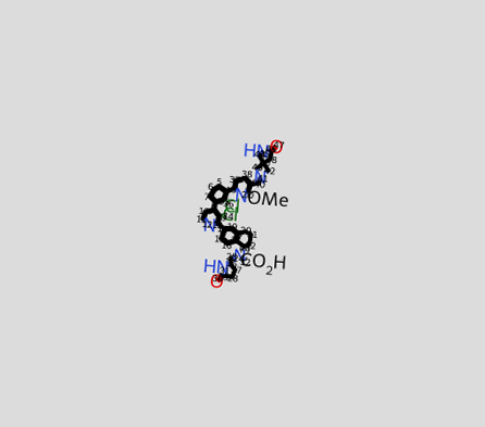 COc1nc(-c2cccc(-c3ccnc(-c4ccc5c(c4)CCC[C@H]5N(CC4CCC(=O)N4)C(=O)O)c3Cl)c2Cl)ccc1CN1CC2(CNC(=O)C2)C1